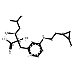 CC(C)C[C@H](N)[C@](O)(Cc1cc(OCCC2CC2C)ccn1)C(=O)O